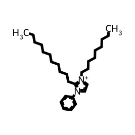 CCCCCCCCCCCc1n(-c2ccccc2)cc[n+]1CCCCCCCCC